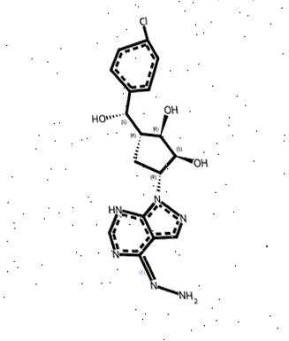 N/N=c1/nc[nH]c2c1cnn2[C@@H]1C[C@H]([C@H](O)c2ccc(Cl)cc2)[C@@H](O)[C@H]1O